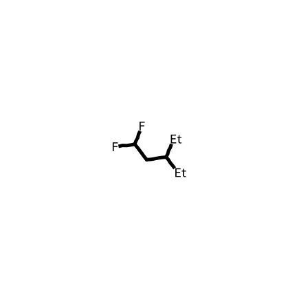 CCC(CC)CC(F)F